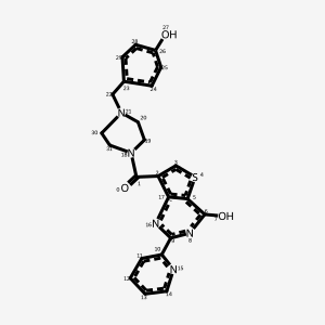 O=C(c1csc2c(O)nc(-c3ccccn3)nc12)N1CCN(Cc2ccc(O)cc2)CC1